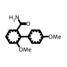 COc1ccc(-c2c(C(N)=O)[c]ccc2OC)cc1